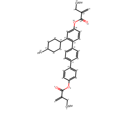 C=C(COC)C(=O)Oc1ccc(-c2ccc(-c3ccc(OC(=O)C(=C)COC)cc3C3CCC(CCC)CC3)cc2)cc1